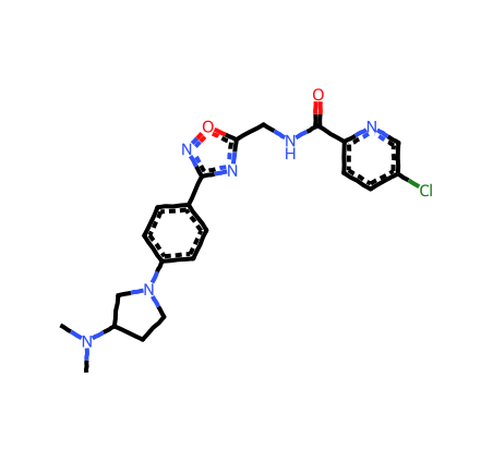 CN(C)C1CCN(c2ccc(-c3noc(CNC(=O)c4ccc(Cl)cn4)n3)cc2)C1